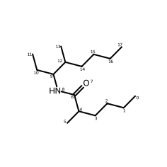 CCCCC(C)C(=O)NC(CC)C(C)CCCC